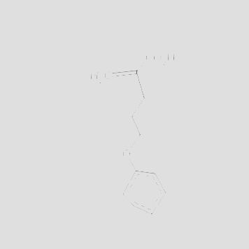 C=C(CCCOc1ccccc1)C(=O)O